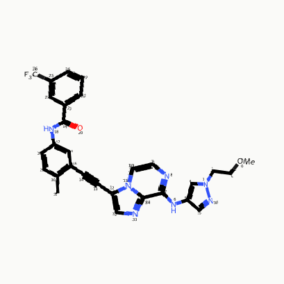 COCCn1cc(Nc2nccn3c(C#Cc4cc(NC(=O)c5cccc(C(F)(F)F)c5)ccc4C)cnc23)cn1